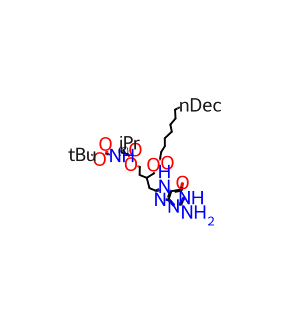 CCCCCCCCCCCCCCCCCC(=O)OCC(CCOC(=O)[C@@H](NC(=O)OC(C)(C)C)C(C)C)Cc1nc2nc(N)[nH]c(=O)c2[nH]1